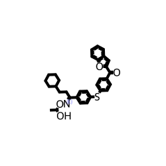 CC(O)O/N=C(\CCC1CCCCC1)c1ccc(Sc2ccc(C(=O)c3cc4ccccc4o3)cc2)cc1